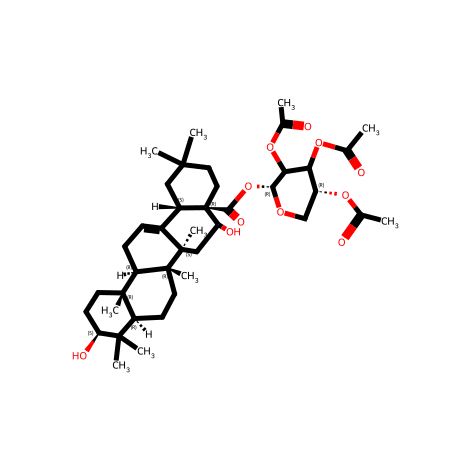 CC(=O)OC1C(OC(C)=O)[C@H](OC(C)=O)CO[C@@H]1OC(=O)[C@]12CCC(C)(C)C[C@H]1C1=CC[C@@H]3[C@@]4(C)CC[C@H](O)C(C)(C)[C@@H]4CC[C@@]3(C)[C@]1(C)CC2O